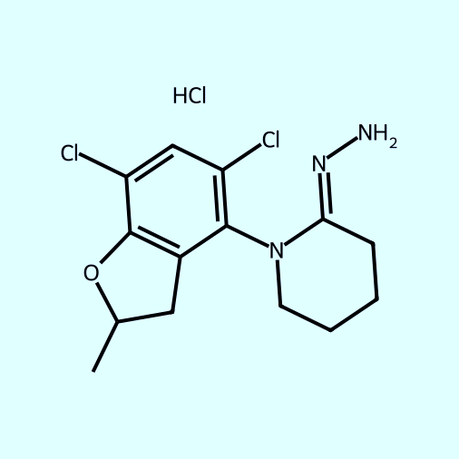 CC1Cc2c(c(Cl)cc(Cl)c2N2CCCCC2=NN)O1.Cl